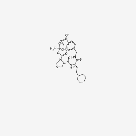 CC(C)(C)OC(=O)N1CSC[C@H]1C(=O)N[C@H](CCC1CCCCC1)C(=S)NCc1ccc([N+](=O)[O-])cc1